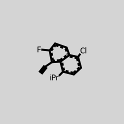 C#Cc1c(F)ccc2c(Cl)ccc(C(C)C)c12